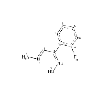 NN=CC(=NO)c1ccccc1F